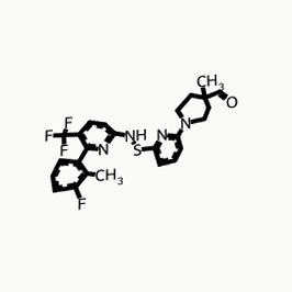 Cc1c(F)cccc1-c1nc(NSc2cccc(N3CCC(C)(C=O)CC3)n2)ccc1C(F)(F)F